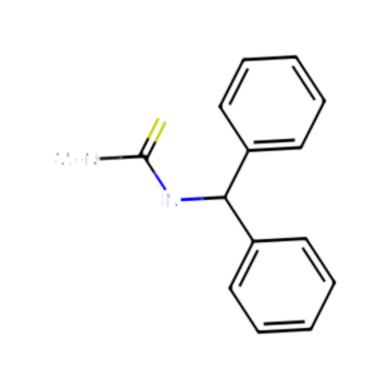 CNC(=S)NC(c1ccccc1)c1ccccc1